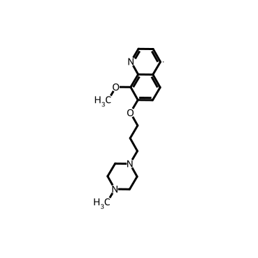 COc1c(OCCCN2CCN(C)CC2)ccc2[c]ccnc12